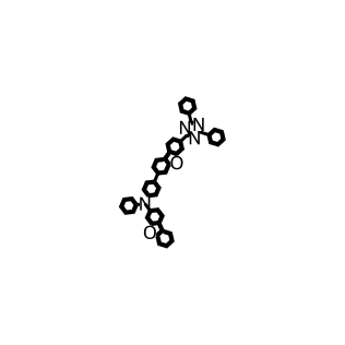 c1ccc(-c2nc(-c3ccccc3)nc(-c3ccc4c(c3)oc3cc(-c5ccc(N(c6ccccc6)c6ccc7c(c6)oc6ccccc67)cc5)ccc34)n2)cc1